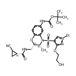 CCn1cc(S(=O)(=O)N2c3cc(NC(=O)OC(C)(C)C(F)(F)F)ccc3O[C@@H](CNC(=O)[C@@H]3CC3C#N)[C@H]2C)c(OCCO)n1